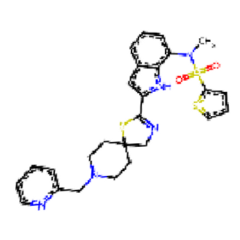 CN(c1cccc2cc(C3=NCC4(CCN(Cc5ccccn5)CC4)S3)[nH]c12)S(=O)(=O)c1cccs1